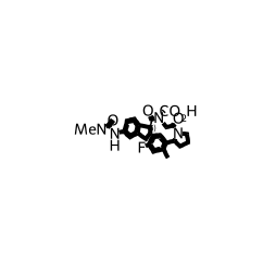 CNC(=O)Nc1ccc2c(c1)CC[C@@H]2C(=O)N(CC(=O)N1CCCC1c1ccc(F)cc1C)C(=O)O